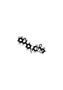 CN(c1ccc(-c2cnc3ccccc3c2)cc1)C1CCN(C(=O)C2CCCO2)CC1